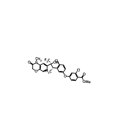 COC(=O)c1ccc(Oc2ccc(Cl)c([C@H](C)[C@](O)(c3ccc4c(c3)N(C)C(=O)CO4)C(F)(F)F)c2)cc1Cl